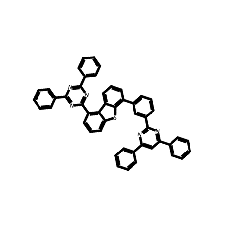 c1ccc(-c2cc(-c3ccccc3)nc(-c3cccc(-c4cccc5c4sc4cccc(-c6nc(-c7ccccc7)nc(-c7ccccc7)n6)c45)c3)n2)cc1